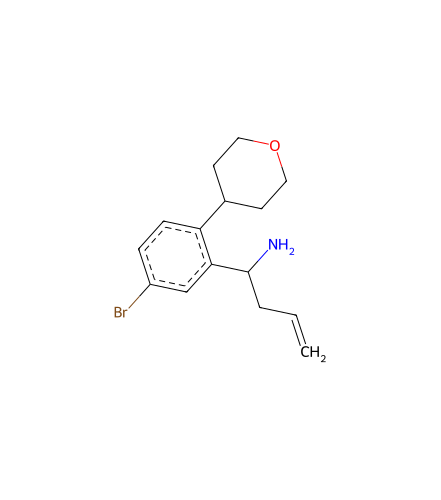 C=CCC(N)c1cc(Br)ccc1C1CCOCC1